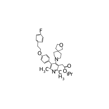 Cc1nc(C)c(-c2ccc(OCCc3ccc(F)cc3)cc2)c(N2CCC3(CCOC3)CC2)c1CC(=O)OC(C)C